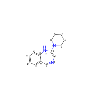 C1=NC=C(N2CCCCC2)Nc2ccccc21